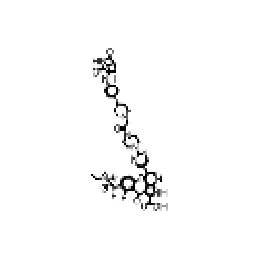 CCN(C)S(=O)(=O)Nc1ccc(F)c(C(=O)c2c(C(=O)O)[nH]c3ncc(-c4cnc(N5CCN(C(=O)CN6CCC(c7ccc(NC89CC(C8)C(=O)NC9=O)cc7)CC6)CC5)nc4)cc23)c1F